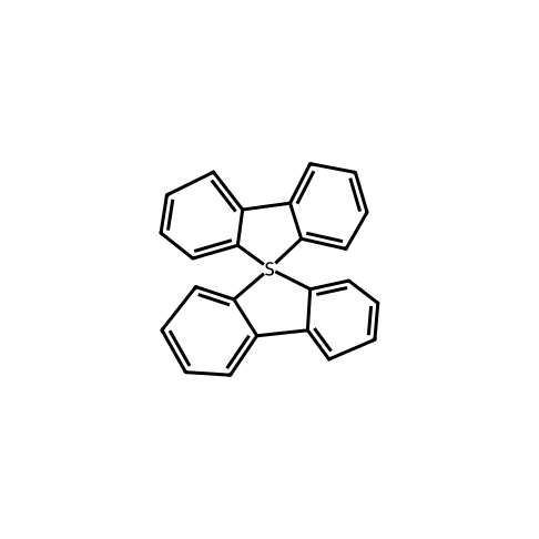 c1ccc2c(c1)-c1ccccc1S21c2ccccc2-c2ccccc21